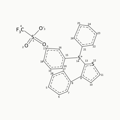 O=S(=O)([O-])C(F)(F)F.c1ccc(-c2ccsc2[S+](c2ccccc2)c2ccccc2)cc1